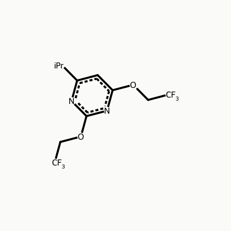 CC(C)c1cc(OCC(F)(F)F)nc(OCC(F)(F)F)n1